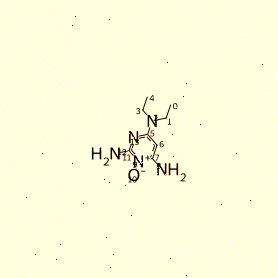 CCN(CC)c1cc(N)[n+]([O-])c(N)n1